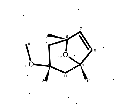 CO[C@]1(C)C[C@]2(C)C=C[C@](C)(C1)O2